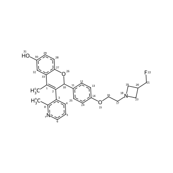 CC1=C(c2cccnc2C)C(c2ccc(OCCN3CC(CF)C3)cc2)Oc2ccc(O)cc21